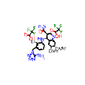 CCc1c(Cn2nnnc2N)cccc1Nc1c(C(N)=O)cnc2cc(OC)c(OC)cc12.O=C(O)C(F)(F)F.O=C(O)C(F)(F)F